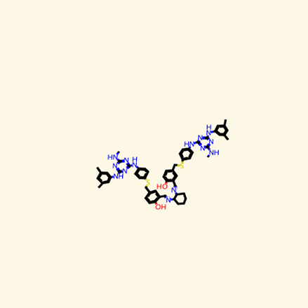 CNc1nc(Nc2ccc(SCc3ccc(O)c(/C=N/C4CCCCC4/N=C/c4cc(CSc5ccc(Nc6nc(NC)nc(Nc7cc(C)cc(C)c7)n6)cc5)ccc4O)c3)cc2)nc(Nc2cc(C)cc(C)c2)n1